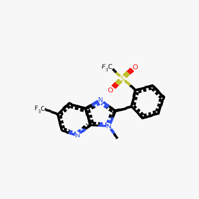 Cn1c(-c2ccccc2S(=O)(=O)C(F)(F)F)nc2cc(C(F)(F)F)cnc21